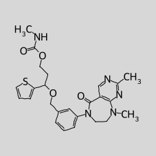 CNC(=O)OCCC(OCc1cccc(N2CCN(C)c3nc(C)ncc3C2=O)c1)c1cccs1